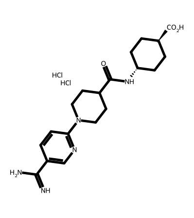 Cl.Cl.N=C(N)c1ccc(N2CCC(C(=O)N[C@H]3CC[C@H](C(=O)O)CC3)CC2)nc1